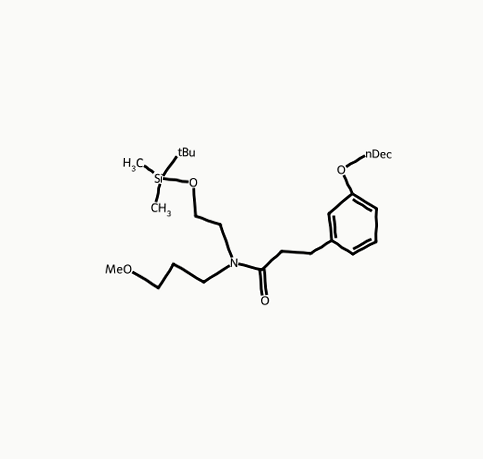 CCCCCCCCCCOc1cccc(CCC(=O)N(CCCOC)CCO[Si](C)(C)C(C)(C)C)c1